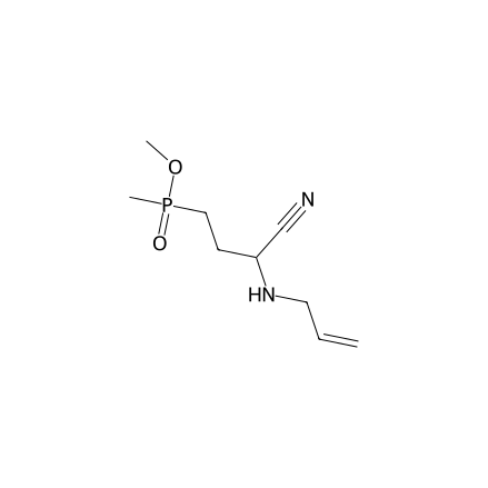 C=CCNC(C#N)CCP(C)(=O)OC